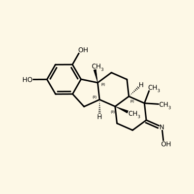 CC1(C)C(=NO)CC[C@]2(C)[C@H]3Cc4cc(O)cc(O)c4[C@]3(C)CC[C@@H]12